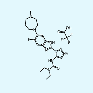 CCN(CC)C(=O)Nc1c[nH]nc1-c1nc2cc(F)c(N3CCCN(C)CC3)cc2[nH]1.O=C(O)C(F)(F)F